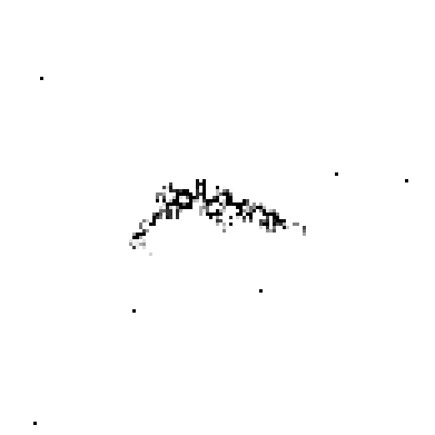 CCc1cc(Nc2nccn3c(-c4cn(Cc5cc(C)on5)nc4C(F)(F)F)cnc23)ccc1C(=O)NCCOCCN